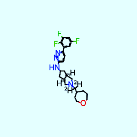 [2H]C([2H])(C1CCCOCC1)N1C[C@H]2CC(Nc3ccc(-c4cc(F)cc(F)c4F)nn3)C[C@H]2C1